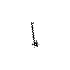 NCCCCCCCCCCCCCCCc1c(F)c(F)c(F)c(F)c1F